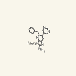 COn1c(N)nc2cc(-c3cncnc3)c(Cc3ccccc3)nc21